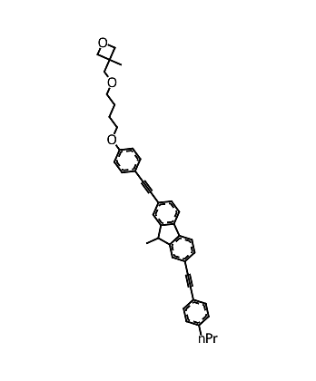 CCCc1ccc(C#Cc2ccc3c(c2)C(C)c2cc(C#Cc4ccc(OCCCCOCC5(C)COC5)cc4)ccc2-3)cc1